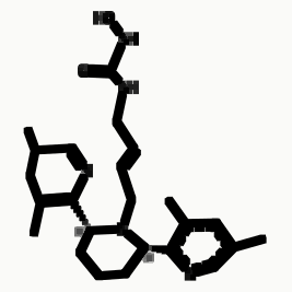 CC1=C([C@H]2CCC[C@@H](c3ncc(C)cc3C)N2CC=CCNC(=O)NO)N=CC(C)C1